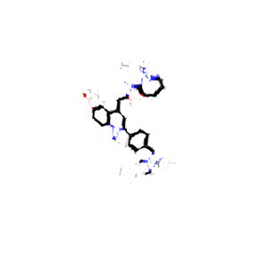 CC[N+](C)(CC)Cc1ccc(C2=C/C(=C\c3nc4c(ccc[n+]4C)o3)c3cc(OC)ccc3N2C)cc1